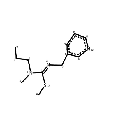 CCCN(C)C(=NCc1cccnc1)SC